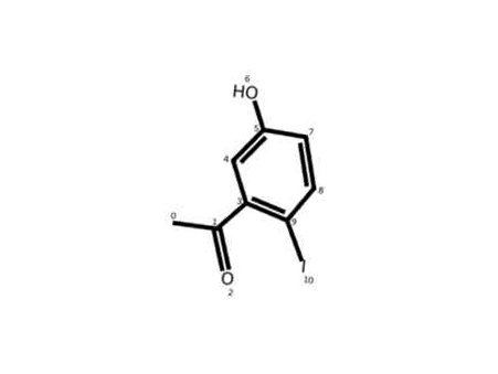 CC(=O)c1cc(O)ccc1I